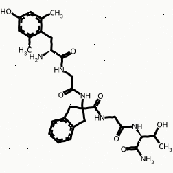 Cc1cc(O)cc(C)c1C[C@H](N)C(=O)NCC(=O)NC1(C(=O)NCC(=O)N[C@H](C(N)=O)C(C)O)Cc2ccccc2C1